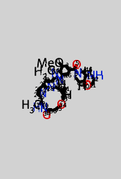 COc1cc(C(=O)N2CC[C@@H]3OCCN[C@@H]3C2)cc2nc(-c3cc4ccc5nc4n3C[C@H]3C[C@H]3COCCC(=O)N[C@@H]5C)n(C)c12